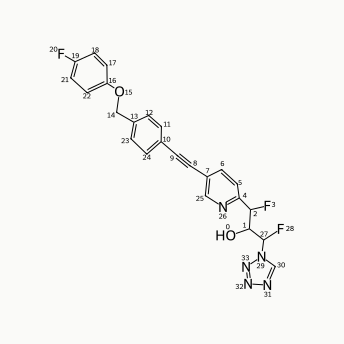 OC(C(F)c1ccc(C#Cc2ccc(COc3ccc(F)cc3)cc2)cn1)C(F)n1cnnn1